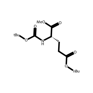 CCCCOC(=O)CC[C@H](NC(=O)OC(C)(C)C)C(=O)OC